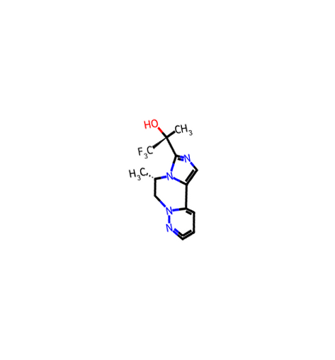 C[C@H]1CN2N=C=CC=C2c2cnc([C@@](C)(O)C(F)(F)F)n21